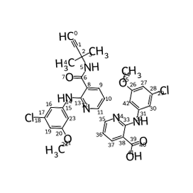 C#CC(C)(C)NC(=O)c1cccnc1Nc1cc(Cl)cc(OC)c1.COc1cc(Cl)cc(Nc2ncccc2C(=O)O)c1